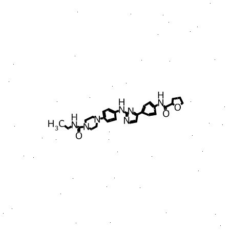 CCNC(=O)N1CCN(c2ccc(Nc3nccc(-c4ccc(NC(=O)C5CCCO5)cc4)n3)cc2)CC1